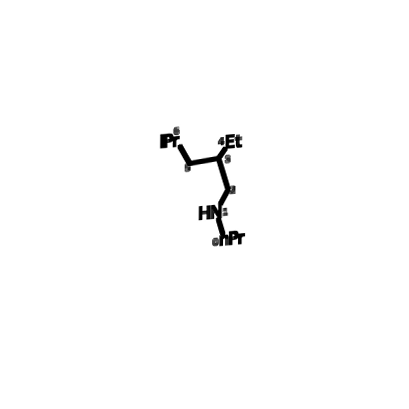 CCCNCC(CC)CC(C)C